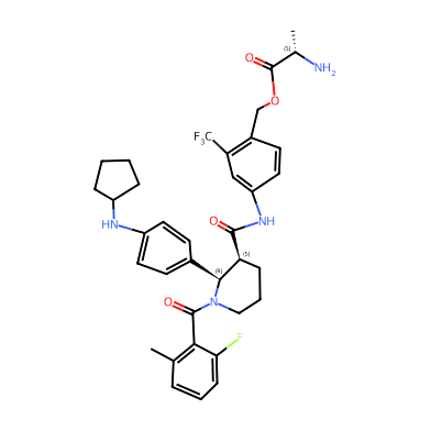 Cc1cccc(F)c1C(=O)N1CCC[C@H](C(=O)Nc2ccc(COC(=O)[C@H](C)N)c(C(F)(F)F)c2)[C@@H]1c1ccc(NC2CCCC2)cc1